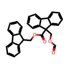 O=[C]OCC1(C(=O)OCC2c3ccccc3-c3ccccc32)c2ccccc2-c2ccccc21